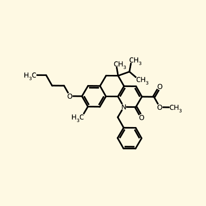 CCCCOc1cc2c(cc1C)-c1c(cc(C(=O)OC)c(=O)n1Cc1ccccc1)C(C)(C(C)C)C2